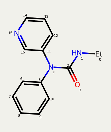 CCNC(=O)N(c1ccccc1)c1cccnc1